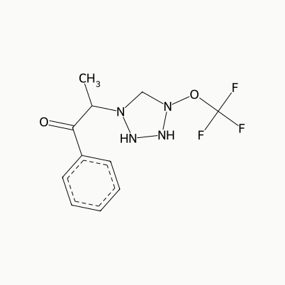 CC(C(=O)c1ccccc1)N1CN(OC(F)(F)F)NN1